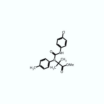 COC(=O)C(C)(C)N(C(=O)Nc1ccc(Cl)cc1)c1ccc(C)cc1